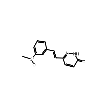 C[S+]([O-])c1cccc(C=Cc2ccc(=O)[nH]n2)c1